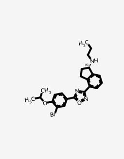 CCCN[C@H]1CCc2c(-c3noc(-c4ccc(OC(C)C)c(Br)c4)n3)cccc21